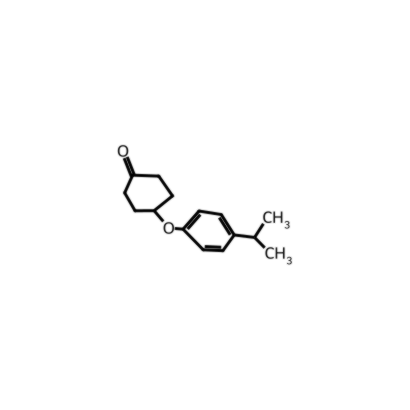 CC(C)c1ccc(OC2CCC(=O)CC2)cc1